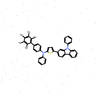 [2H]c1c([2H])c([2H])c(-c2ccc(N(c3ccccc3)c3ccc(-c4ccc5c6ccccc6n(-c6ccccc6)c5c4)s3)cc2)c([2H])c1[2H]